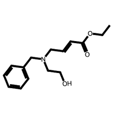 CCOC(=O)C=CCN(CCO)Cc1ccccc1